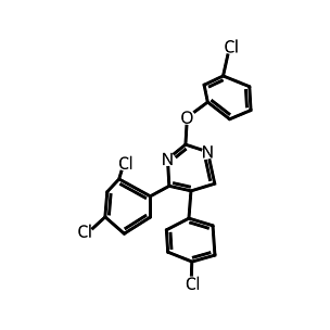 Clc1ccc(-c2cnc(Oc3cccc(Cl)c3)nc2-c2ccc(Cl)cc2Cl)cc1